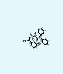 CC(=CS(=O)(=O)NC(=O)N(c1ccccc1)c1ccccc1)c1cccc(Br)c1